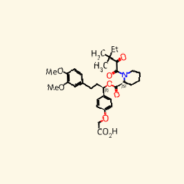 CCC(C)(C)C(=O)C(=O)N1CCCC[C@H]1C(=O)O[C@H](CCc1ccc(OC)c(OC)c1)c1ccc(OCC(=O)O)cc1